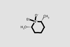 CC[N+]1([O-])[C@H](C)CCC[C@@H]1C